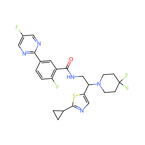 O=C(NCC(c1cnc(C2CC2)s1)N1CCC(F)(F)CC1)c1cc(-c2ncc(F)cn2)ccc1F